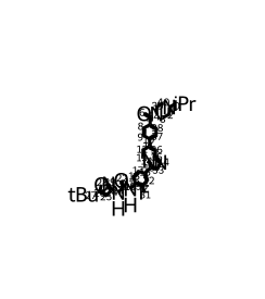 CC(C)N1CCN(C(=O)c2ccc(-c3ccn4c(-c5ccc(NC(=O)Nc6cc(C(C)(C)C)on6)c(F)c5)cnc4c3)cc2)CC1